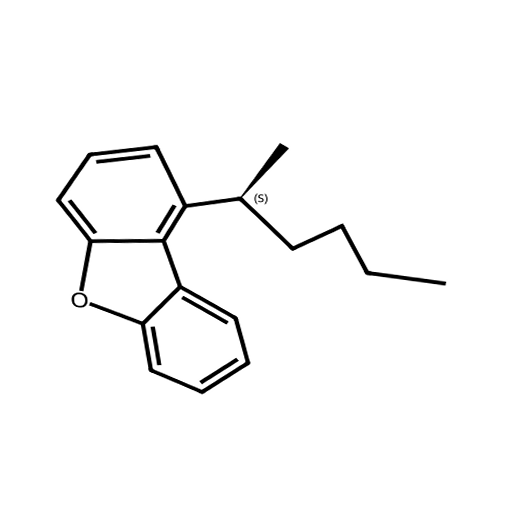 CCCC[C@H](C)c1cccc2oc3ccccc3c12